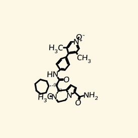 Cc1c[n+]([O-])cc(C)c1-c1ccc(NC(=O)[C@@H](C2CCCCCC2)[C@H]2c3ccc(C(N)=O)n3CCN2C)cc1